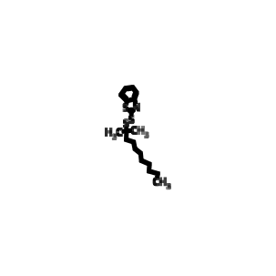 CCCCCCCCCC(C)(C)SSc1nc2ccccc2s1